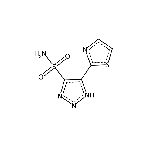 NS(=O)(=O)c1nn[nH]c1-c1nccs1